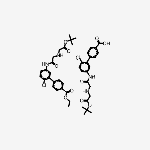 CC(C)(C)OC(=O)CNCC(=O)Nc1ccc(Cl)c(-c2ccc(C(=O)O)cc2)c1.CCOC(=O)c1ccc(-c2cc(NC(=O)CNCC(=O)OC(C)(C)C)ccc2Cl)cc1